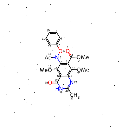 COC(=O)c1c(N(Oc2ccccc2)C(C)=O)c(OC)c2c(=O)[nH]c(C)nc2c1OC